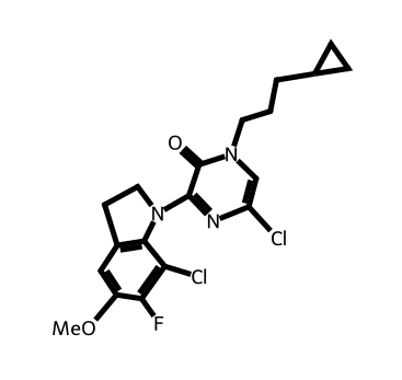 COc1cc2c(c(Cl)c1F)N(c1nc(Cl)cn(CCCC3CC3)c1=O)CC2